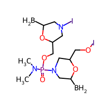 BC1CN(I)CC(COP(=O)(N(C)C)N2CC(B)OC(COI)C2)O1